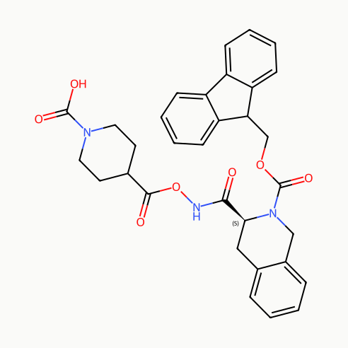 O=C(ONC(=O)[C@@H]1Cc2ccccc2CN1C(=O)OCC1c2ccccc2-c2ccccc21)C1CCN(C(=O)O)CC1